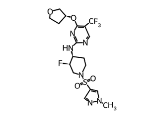 Cn1cc(S(=O)(=O)N2CC[C@H](Nc3ncc(C(F)(F)F)c(O[C@H]4CCOC4)n3)[C@H](F)C2)cn1